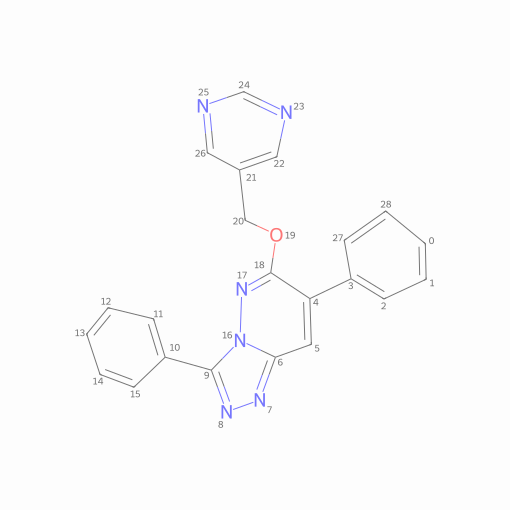 c1ccc(-c2cc3nnc(-c4ccccc4)n3nc2OCc2cncnc2)cc1